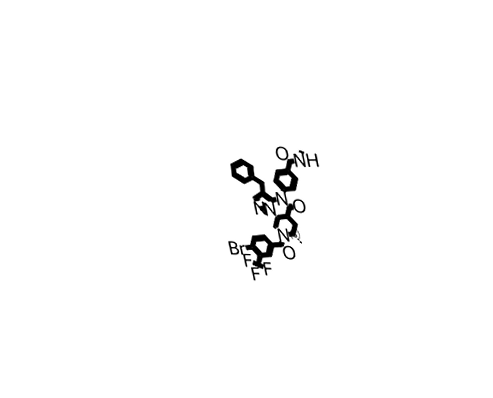 CNC(=O)c1ccc(N2C(=O)C3C[C@H](C)N(C(=O)c4ccc(Br)c(C(F)(F)F)c4)CC3n3ncc(Cc4ccccc4)c32)cc1